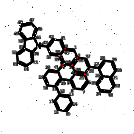 c1ccc(-c2ccccc2-c2c(-c3ccccc3)cccc2N(c2ccc(-c3cccc4ccccc34)cc2)c2cccc(-n3c4ccccc4c4ccccc43)c2)cc1